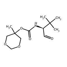 CC1(OC(=O)N[C@H](C=O)C(C)(C)C)COCOC1